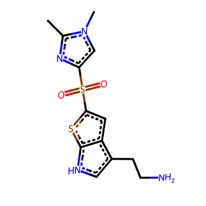 Cc1nc(S(=O)(=O)c2cc3c(CCN)c[nH]c3s2)cn1C